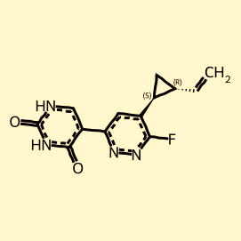 C=C[C@H]1C[C@@H]1c1cc(-c2c[nH]c(=O)[nH]c2=O)nnc1F